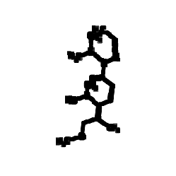 C=C(/C=C\C(B(O)O)=C(/C)COC)N(/N=C\C)N(C)C